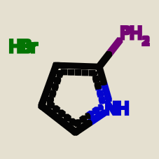 Br.Pc1ccc[nH]1